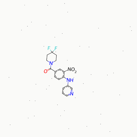 O=C(c1ccc(Nc2cccnc2)c([N+](=O)[O-])c1)N1CCC(F)(F)CC1